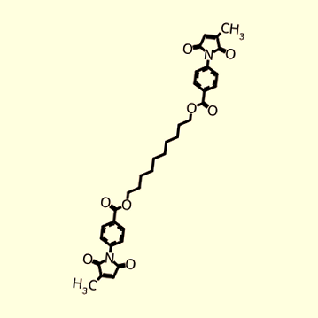 CC1=CC(=O)N(c2ccc(C(=O)OCCCCCCCCCCOC(=O)c3ccc(N4C(=O)C=C(C)C4=O)cc3)cc2)C1=O